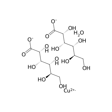 O.O=C([O-])[C@H](O)[C@@H](O)[C@H](O)[C@H](O)CO.O=C([O-])[C@H](O)[C@@H](O)[C@H](O)[C@H](O)CO.[Cu+2]